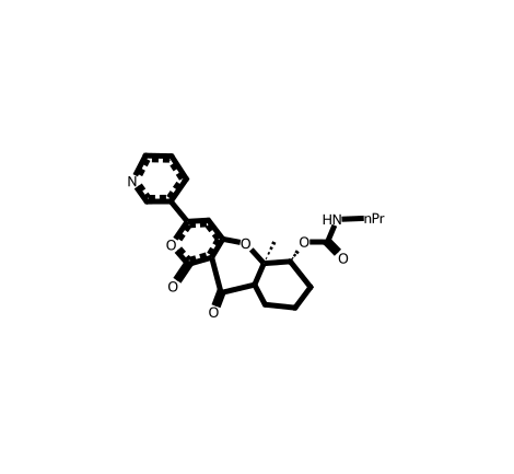 CCCNC(=O)O[C@@H]1CCCC2C(=O)c3c(cc(-c4cccnc4)oc3=O)O[C@]21C